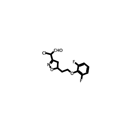 O=CC(Cl)C1=NOC(CCOc2c(F)cccc2F)C1